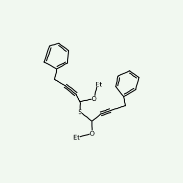 CCOC(C#CCc1ccccc1)SC(C#CCc1ccccc1)OCC